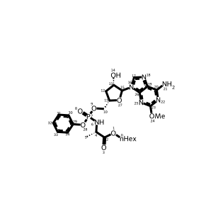 CCCCCCOC(=O)[C@H](C)NP(=O)(OC[C@@H]1C[C@H](O)C(n2cnc3c(N)nc(OC)nc32)O1)Oc1ccccc1